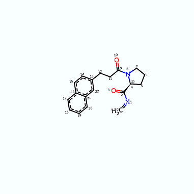 C=NC(=O)[C@@H]1CCCN1C(=O)CCc1ccc2ccccc2c1